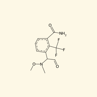 CON(C)C(C=O)c1cccc(C(N)=O)c1C(F)(F)F